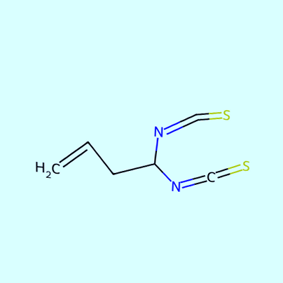 C=CCC(N=C=S)N=C=S